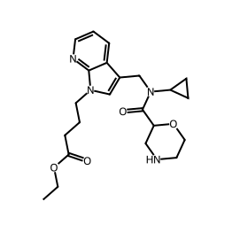 CCOC(=O)CCCn1cc(CN(C(=O)C2CNCCO2)C2CC2)c2cccnc21